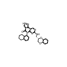 O=c1c2c[nH]nc2c2cnc(NC[C@H]3COc4ccccc4O3)nc2n1-c1cccc2c1CCCC2